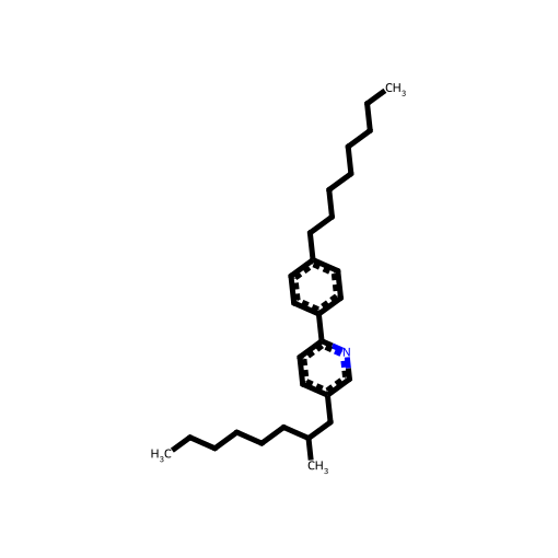 CCCCCCCCc1ccc(-c2ccc(CC(C)CCCCCC)cn2)cc1